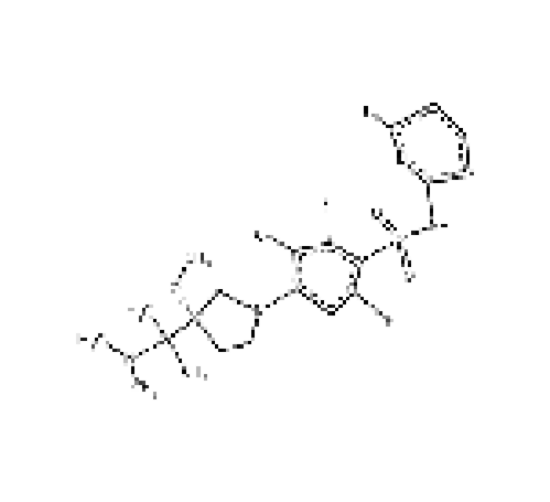 CO[C@@]1(C(C)(C)N(C)C)CCN(c2cc(F)c(S(=O)(=O)Nc3cccc(F)n3)c(F)c2Cl)C1